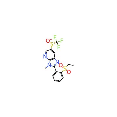 CCS(=O)(=O)c1ccccc1-c1nc2cc([S+]([O-])C(F)(F)F)cnc2n1C